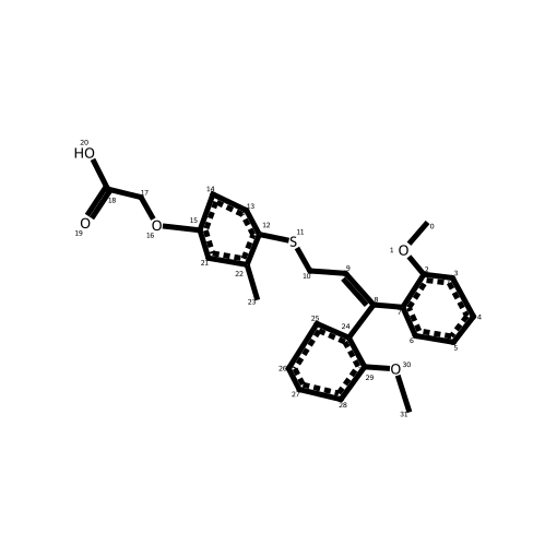 COc1ccccc1C(=CCSc1ccc(OCC(=O)O)cc1C)c1ccccc1OC